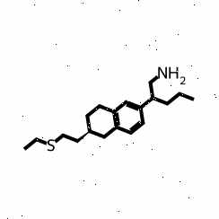 CCCC(CN)c1ccc2c(c1)CC[C@H](CCSCC)C2